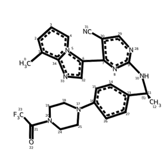 Cc1cccn2c(-c3nc(N[C@@H](C)c4ccc(N5CCN(C(=O)C(F)(F)F)CC5)cc4)ncc3C#N)cnc12